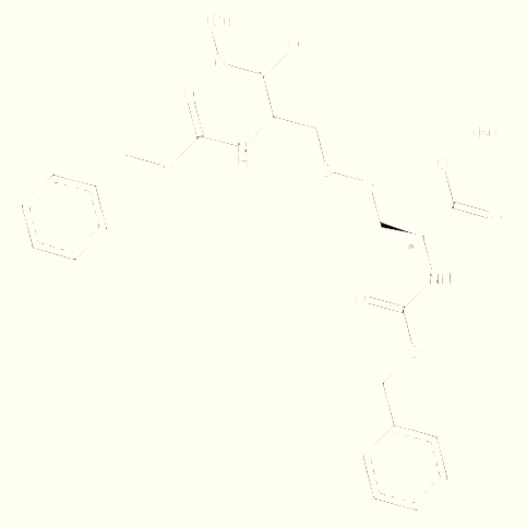 CC(C)(C)OC(=O)C(CSSC[C@H](NC(=O)OCc1ccccc1)C(=O)OC(C)(C)C)NC(=O)OCc1ccccc1